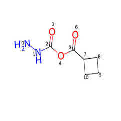 NNC(=O)OC(=O)C1CCC1